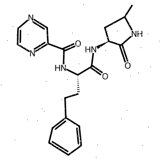 CC1C[C@H](NC(=O)[C@H](CCc2ccccc2)NC(=O)c2cnccn2)C(=O)N1